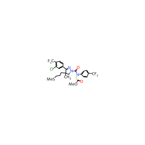 COC(=O)SN(C(=O)N1CC(C)(CCCSC)C(c2ccc(C(F)(F)F)c(Cl)c2)=N1)c1ccc(C(F)(F)F)cc1